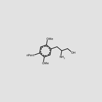 CCCCCc1cc(OC)c(CC(N)CO)cc1OC